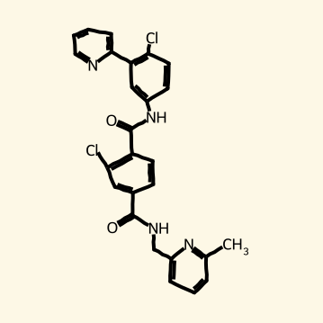 Cc1cccc(CNC(=O)c2ccc(C(=O)Nc3ccc(Cl)c(-c4ccccn4)c3)c(Cl)c2)n1